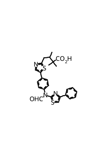 CC(Cc1ncc(-c2ccc(N(C=O)c3nc(-c4ccccc4)cs3)cc2)s1)C(C)(C)C(=O)O